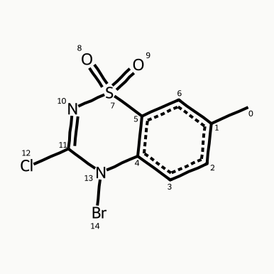 Cc1ccc2c(c1)S(=O)(=O)N=C(Cl)N2Br